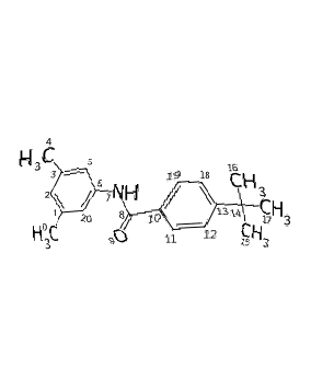 Cc1cc(C)cc(NC(=O)c2ccc(C(C)(C)C)cc2)c1